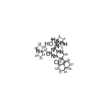 O=C(O)N1[C@@H]2CC[C@H]1CN(c1nc(OCC34CCCN3CCC4)nc3cc(-c4cccc5cccc(Cl)c45)cnc13)C2